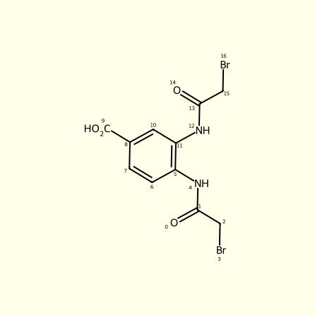 O=C(CBr)Nc1ccc(C(=O)O)cc1NC(=O)CBr